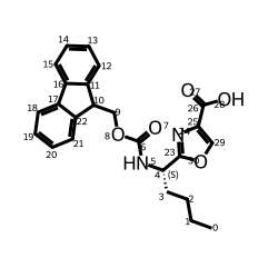 CCCC[C@H](NC(=O)OCC1c2ccccc2-c2ccccc21)c1nc(C(=O)O)co1